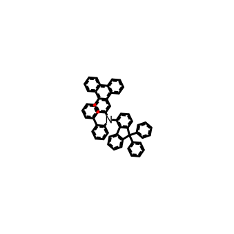 c1ccc(-c2ccccc2N(c2ccc3c4ccccc4c4ccccc4c3c2)c2cccc3c2-c2ccccc2C3(c2ccccc2)c2ccccc2)cc1